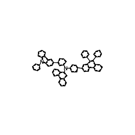 c1ccc(-c2c(-c3ccccc3)c3cc(-c4ccc(N(c5cccc(-c6ccc7c(c6)c6ccccc6n7-c6ccccc6)c5)c5cc6ccccc6c6ccccc56)cc4)ccc3c3ccccc23)cc1